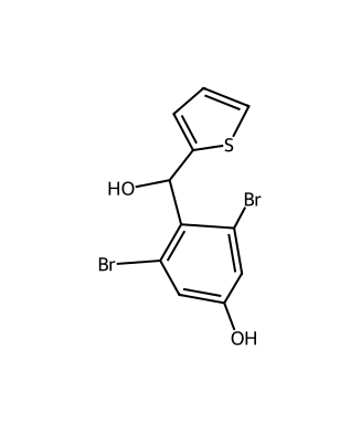 Oc1cc(Br)c(C(O)c2cccs2)c(Br)c1